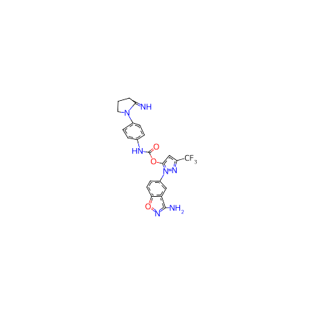 N=C1CCCN1c1ccc(NC(=O)Oc2cc(C(F)(F)F)nn2-c2ccc3onc(N)c3c2)cc1